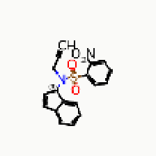 C#CCN([C@@H]1C=Cc2ccccc21)S(=O)(=O)c1ccccc1[N+](=O)[O-]